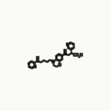 O=C(O)C(CNc1ccc2c(c1)OCCN2CCCCNc1ccccn1)c1cccnc1